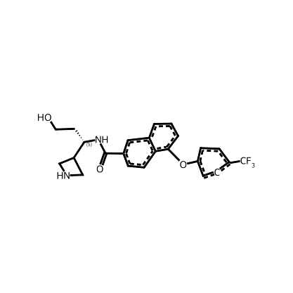 O=C(N[C@@H](CCO)C1CNC1)c1ccc2c(Oc3ccc(C(F)(F)F)cc3)cccc2c1